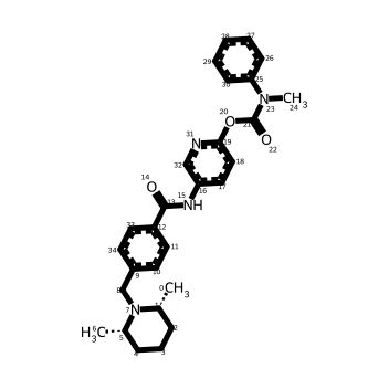 C[C@@H]1CCC[C@H](C)N1Cc1ccc(C(=O)Nc2ccc(OC(=O)N(C)c3ccccc3)nc2)cc1